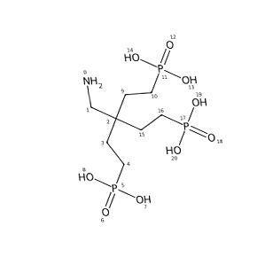 NCC(CCP(=O)(O)O)(CCP(=O)(O)O)CCP(=O)(O)O